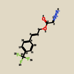 [N-]=[N+]=CC(=O)OC/C=C/c1ccc(C(F)(F)F)cc1